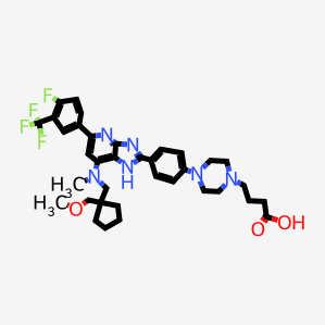 COCC1(CN(C)c2cc(-c3ccc(F)c(C(F)(F)F)c3)nc3nc(-c4ccc(N5CCN(CCCC(=O)O)CC5)cc4)[nH]c23)CCCC1